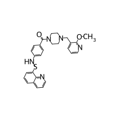 COc1ncccc1CN1CCN(C(=O)c2ccc(NSc3cccc4cccnc34)cc2)CC1